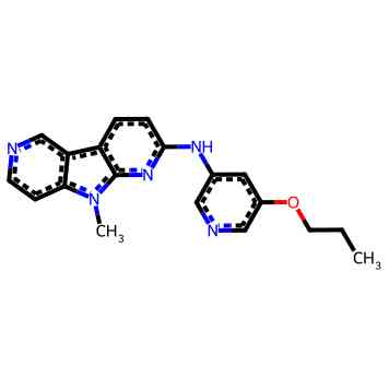 CCCOc1cncc(Nc2ccc3c4cnccc4n(C)c3n2)c1